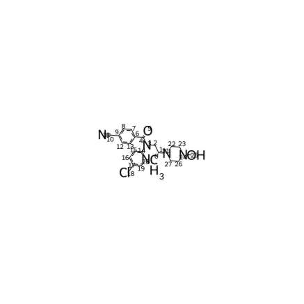 C[C@H](CN(C(=O)c1ccc(C#N)cc1)c1ccc(Cl)cn1)N1CCN(O)CC1